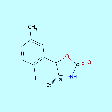 CC[C@H]1NC(=O)OC1c1cc(C)ccc1I